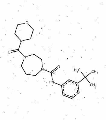 CC(C)(C)c1cccc(NC(=O)N2CCCN(C(=O)N3CCOCC3)CC2)c1